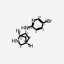 Brc1ccc(N[C@@H]2C[C@@H]3CN[C@H]2C3)nc1